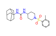 Cc1ccccc1S(=O)(=O)N1CCC(NC(=O)NC23CC4CC(CC(C4)C2)C3)CC1